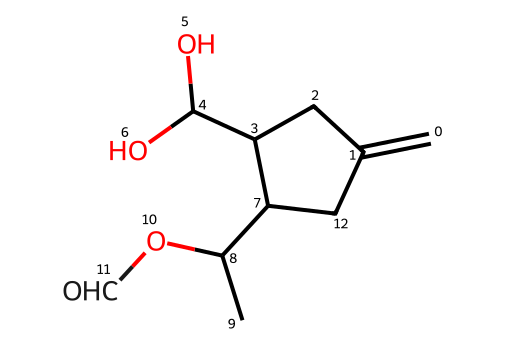 C=C1CC(C(O)O)C(C(C)OC=O)C1